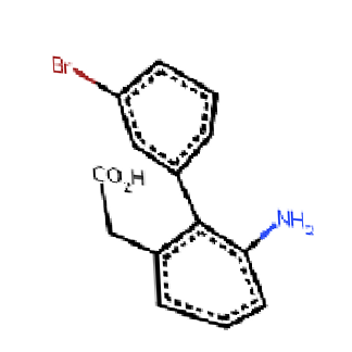 Nc1cccc(CC(=O)O)c1-c1cccc(Br)c1